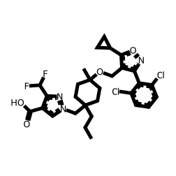 CCCC1(Cn2cc(C(=O)O)c(C(F)F)n2)CCC(C)(OCc2c(-c3c(Cl)cccc3Cl)noc2C2CC2)CC1